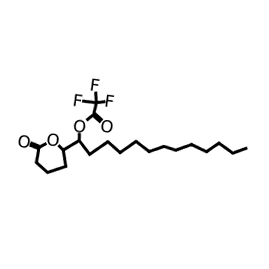 CCCCCCCCCCCCC(OC(=O)C(F)(F)F)C1CCCC(=O)O1